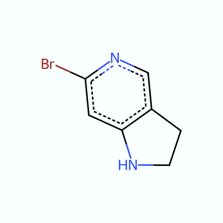 Brc1cc2c(cn1)CCN2